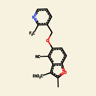 CCOC(=O)c1c(C)oc2ccc(OCc3cccnc3C(F)(F)F)c(C#N)c12